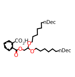 CCCCCCCCCCCCCCCCOC(COC(=O)c1ccccc1C(=O)O)OCCCCCCCCCCCCCCCC